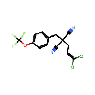 N#CC(C#N)(CC=C(Cl)Cl)Cc1ccc(OC(F)(F)F)cc1